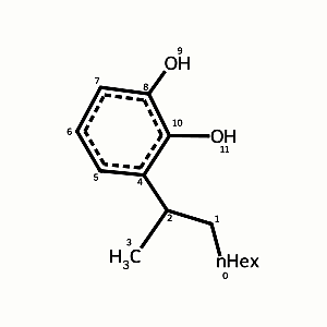 CCCCCCCC(C)c1cccc(O)c1O